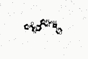 O=C(c1cnc2ccc(-c3ccn4nc(N[C@H]5C[C@@H](N6CCOCC6)C5)ncc34)cn12)N1CCCC1